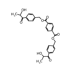 CC(O)C(=O)c1ccc(COC(=O)c2ccc(C(=O)OCc3ccc(C(=O)C(C)O)cc3)cc2)cc1